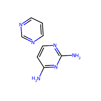 Nc1ccnc(N)n1.c1cncnc1